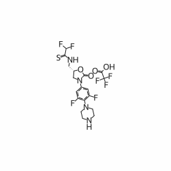 O=C(O)C(F)(F)F.O=C1O[C@@H](CNC(=S)C(F)F)CN1c1cc(F)c(N2CCNCC2)c(F)c1